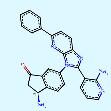 Nc1ncccc1-c1nc2ccc(-c3ccccc3)nc2n1-c1ccc2c(c1)C(=O)C[C@@H]2N